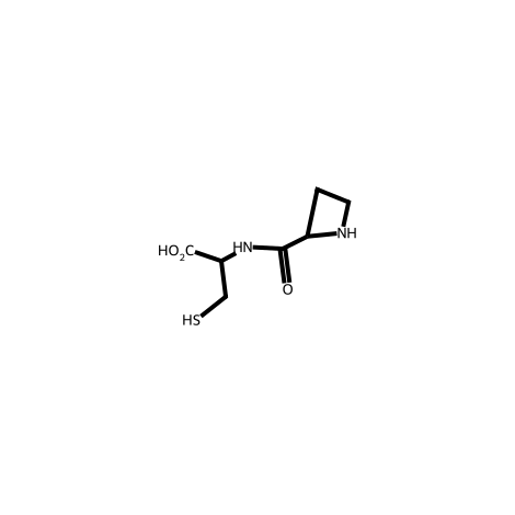 O=C(O)C(CS)NC(=O)C1CCN1